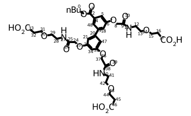 CCCCOC(=O)c1cc(OCC(=O)NCCOCCC(=O)O)cc(-c2cc(OCC(=O)NCCOCCC(=O)O)cc(OCC(=O)NCCOCCC(=O)O)c2)c1